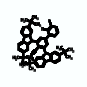 CC(C)(C)c1ccc2c3ccc(C(C)(C)C)cc3n(-c3cc(-c4cccc(F)c4F)cc(-n4c5cc(C(C)(C)C)ccc5c5ccc(C(C)(C)C)cc54)c3C#N)c2c1